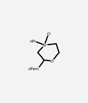 CCCCCC1C[N+]([O-])(CCC)CCO1